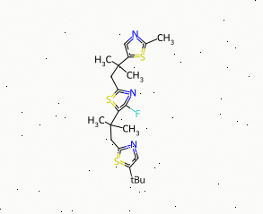 Cc1ncc(C(C)(C)Cc2nc(F)c(C(C)(C)Cc3ncc(C(C)(C)C)s3)s2)s1